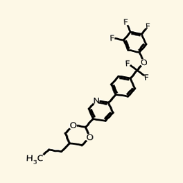 CCCC1COC(c2ccc(-c3ccc(C(F)(F)Oc4cc(F)c(F)c(F)c4)cc3)nc2)OC1